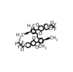 CC#Cc1cc(C)c(C2C(=O)CC3(CCN(C(=O)C(F)(F)Cl)CC3)CC2=O)c(CCc2cc(C#CC)cc(C)c2C2C(=O)CC3(CCN(C(=O)C(F)(F)C(F)F)CC3)CC2=O)c1